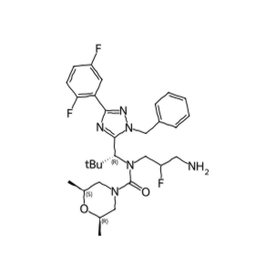 C[C@@H]1CN(C(=O)N(CC(F)CN)[C@@H](c2nc(-c3cc(F)ccc3F)nn2Cc2ccccc2)C(C)(C)C)C[C@H](C)O1